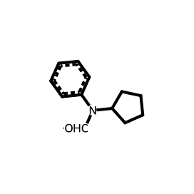 O=[C]N(c1ccccc1)C1CCCC1